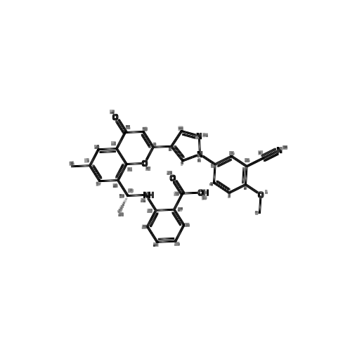 COc1ccc(-n2cc(-c3cc(=O)c4cc(C)cc([C@@H](C)Nc5ccccc5C(=O)O)c4o3)cn2)cc1C#N